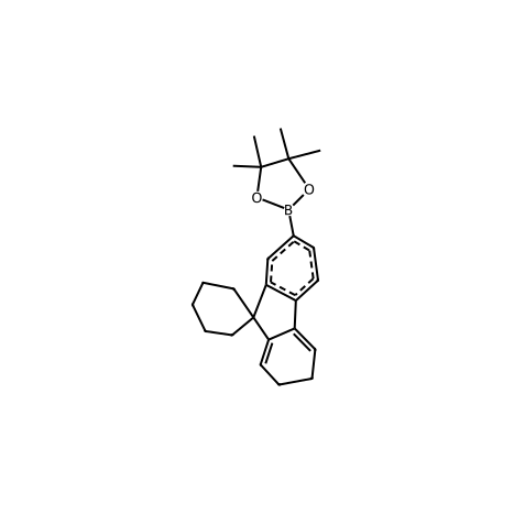 CC1(C)OB(c2ccc3c(c2)C2(CCCCC2)C2=CCCC=C23)OC1(C)C